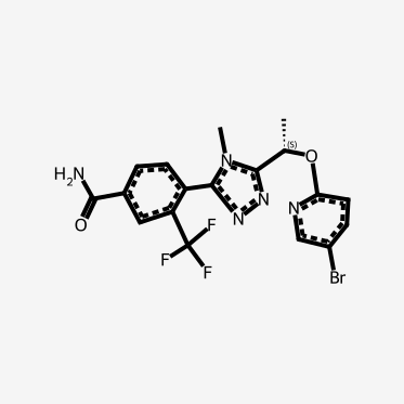 C[C@H](Oc1ccc(Br)cn1)c1nnc(-c2ccc(C(N)=O)cc2C(F)(F)F)n1C